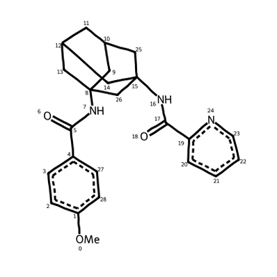 COc1ccc(C(=O)NC23CC4CC(C2)CC(NC(=O)c2ccccn2)(C4)C3)cc1